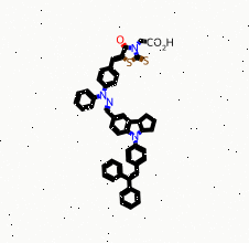 O=C(O)CN1C(=O)C(=Cc2ccc(N(N=Cc3ccc4c(c3)C3CCCC3N4c3ccc(C=C(c4ccccc4)c4ccccc4)cc3)c3ccccc3)cc2)SC1=S